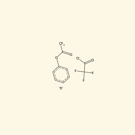 O=C(Oc1ccccc1)C(F)(F)F.O=C([O-])C(F)(F)F.[Tl+]